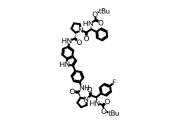 CC(C)(C)OC(=O)N[C@@H](C(=O)N1CCC[C@H]1C(=O)Nc1ccc(-c2cc3cc(NC(=O)[C@@H]4CCCN4C(=O)[C@H](NC(=O)OC(C)(C)C)c4ccccc4)ccc3[nH]2)cc1)c1ccc(F)cc1